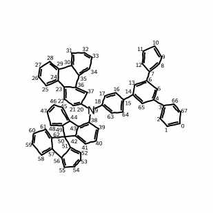 c1ccc(-c2cc(-c3ccccc3)cc(-c3ccc(N(c4ccc5c6ccccc6c6ccccc6c5c4)c4cccc5c4-c4ccccc4C54c5ccccc5-c5ccccc54)cc3)c2)cc1